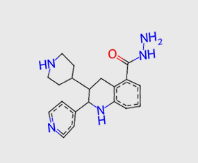 NNC(=O)c1cccc2c1CC(C1CCNCC1)C(c1ccncc1)N2